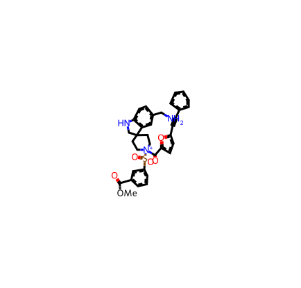 COC(=O)c1cccc(S(=O)(=O)[N+]2(C(=O)c3ccc(C#Cc4ccccc4)o3)CCC3(CC2)CNc2ccc(CN)cc23)c1